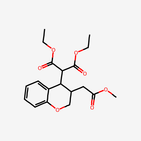 CCOC(=O)C(C(=O)OCC)C1c2ccccc2OCC1CC(=O)OC